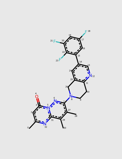 Cc1cc(=O)n2nc(N3CCc4ncc(-c5cc(F)cc(F)c5F)cc4C3)c(C)c(C)c2n1